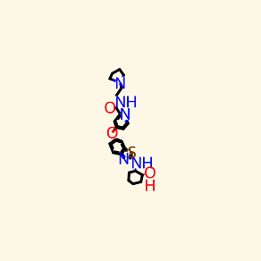 O=C(NCCN1CCCC1)c1cc(Oc2ccc3nc(N[C@@H]4CCCC[C@H]4O)sc3c2)ccn1